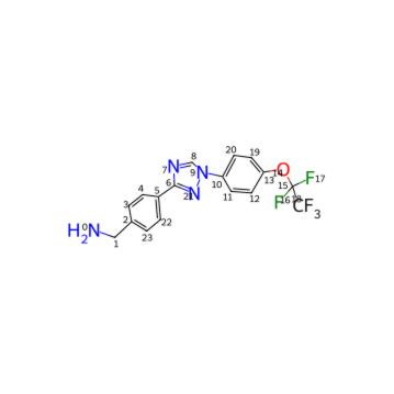 NCc1ccc(-c2ncn(-c3ccc(OC(F)(F)C(F)(F)F)cc3)n2)cc1